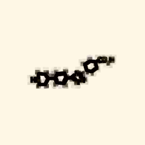 O=C(O)[C@H]1CC[C@H](c2nnc(-c3ccc(C4CCNCC4)cc3)s2)CC1